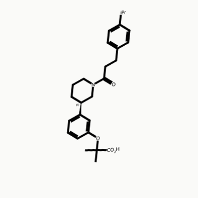 CC(C)c1ccc(CCC(=O)N2CCC[C@H](c3cccc(OC(C)(C)C(=O)O)c3)C2)cc1